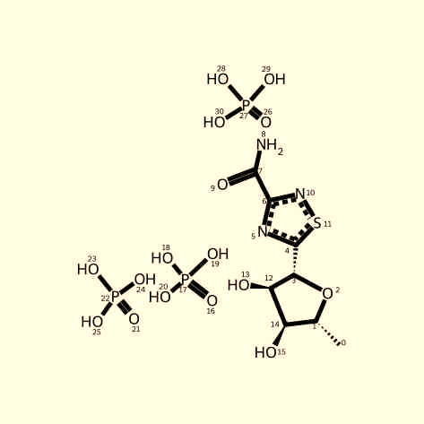 C[C@H]1O[C@@H](c2nc(C(N)=O)ns2)[C@H](O)[C@@H]1O.O=P(O)(O)O.O=P(O)(O)O.O=P(O)(O)O